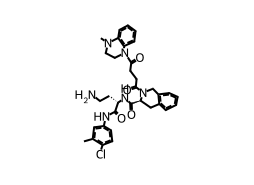 Cc1cc(NC(=O)[C@H](CCN)NC(=O)[C@@H]2Cc3ccccc3CN2C(=O)CCC(=O)N2CCN(C)c3ccccc32)ccc1Cl